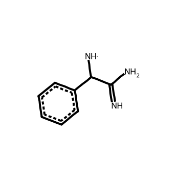 [NH]C(C(=N)N)c1ccccc1